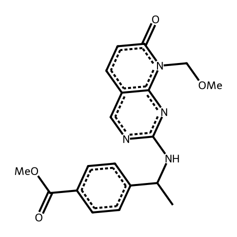 COCn1c(=O)ccc2cnc(NC(C)c3ccc(C(=O)OC)cc3)nc21